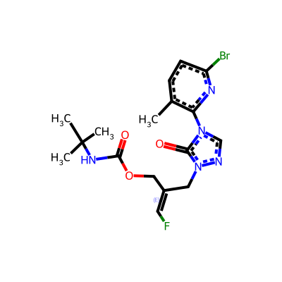 Cc1ccc(Br)nc1-n1cnn(C/C(=C\F)COC(=O)NC(C)(C)C)c1=O